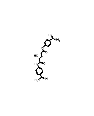 Cl.N=C(N)c1ccc(NC(=O)CCCC(=O)Nc2ccc(C(=N)N)cc2)cc1